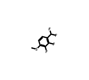 CSc1ccc([C](F)F)c(F)c1F